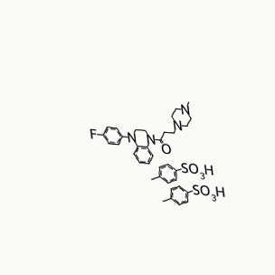 CN1CCN(CCC(=O)N2CCN(c3ccc(F)cc3)c3ccccc32)CC1.Cc1ccc(S(=O)(=O)O)cc1.Cc1ccc(S(=O)(=O)O)cc1